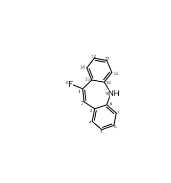 FC1=Cc2ccccc2Nc2ccccc21